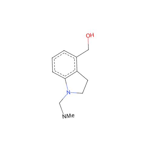 CNCN1CCc2c(CO)cccc21